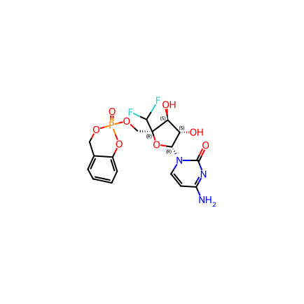 Nc1ccn([C@@H]2O[C@@](COP3(=O)OCc4ccccc4O3)(C(F)F)[C@@H](O)[C@@H]2O)c(=O)n1